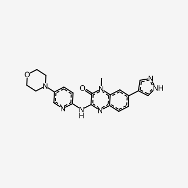 Cn1c(=O)c(Nc2ccc(N3CCOCC3)cn2)nc2ccc(-c3cn[nH]c3)cc21